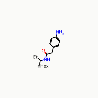 CCCCCCC(CC)NC(=O)Cc1ccc(N)cc1